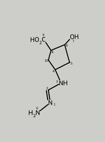 NN=CNC1CC(O)C(C(=O)O)C1